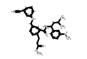 COC(=O)CCc1ccc(COc2cccc(C#N)c2)cc1C(=O)NC(CC(C)C)c1cccc(OC)c1